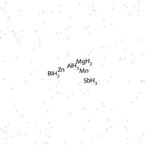 [AlH3].[BiH3].[MgH2].[Mn].[SbH3].[Zn]